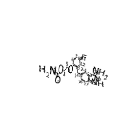 NC(=O)OCCOc1ccc(F)cc1Cc1ccc2[nH]nc(N)c2c1